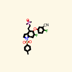 Cc1ccc(S(=O)(=O)n2ccc3c(CCP(C)(C)=O)c(Oc4ccc(F)c(C#N)c4)c(F)cc32)cc1